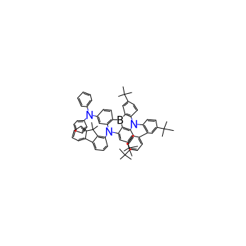 CC(C)(C)c1ccc(-c2cc(C(C)(C)C)ccc2N2c3ccc(C(C)(C)C)cc3B3c4ccc(N(c5ccccc5)c5ccccc5)cc4N(c4cccc5c4C(C)(C)c4ccccc4-5)c4cc(C(C)(C)C)cc2c43)cc1